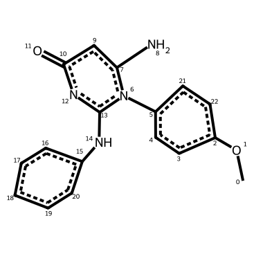 COc1ccc(-n2c(N)cc(=O)nc2Nc2ccccc2)cc1